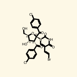 O=C(c1ccc(Cl)cc1)[C@@H]1[C@H](O)[C@@H](CO)O[C@@]1(C(=O)c1ccc(Cl)cc1)n1cc(C=CBr)c(=O)[nH]c1=O